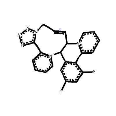 Fc1cc(F)c2c(c1)C1C(/C=C/Cn3nnnc3-c3cccc[n+]31)[n+]1ccccc1-2